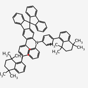 CC1(C)CCC(C)(C)c2c(-c3ccc(-c4cc5c(cc4N(c4ccccc4)c4ccc(-c6cccc7c6C(C)(C)CCC7(C)C)cc4)C4(c6ccccc6-c6ccccc64)c4ccccc4-5)cc3)cccc21